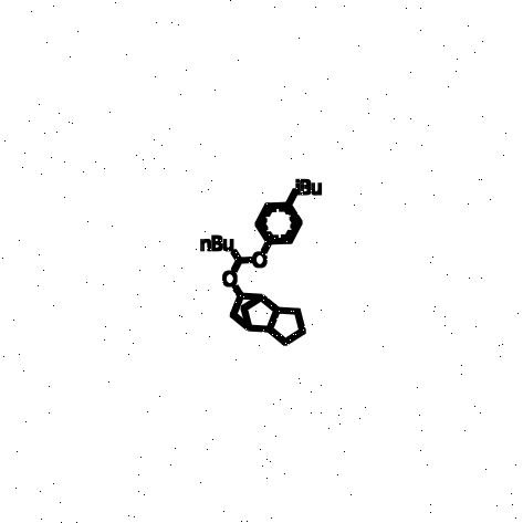 CCCCC(Oc1ccc(C(C)CC)cc1)OC1CC2CC1C1CCCC21